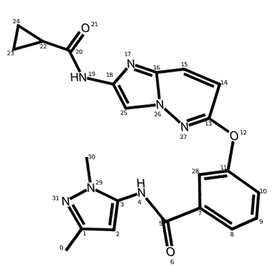 Cc1cc(NC(=O)c2cccc(Oc3ccc4nc(NC(=O)C5CC5)cn4n3)c2)n(C)n1